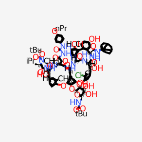 CCCOc1ccc(NC(=O)NC(=O)C[C@@H]2NC(=O)[C@H](NC(=O)[C@@H](CC(C)C)N(C)C(=O)OC(C)(C)C)[C@H](O)c3ccc(c(C)c3)Oc3cc4cc(c3O[C@@H]3O[C@H](CNC(=O)OC(C)(C)C)[C@@H](O)[C@H](O)[C@H]3O)Oc3ccc(cc3Cl)[C@@H](O)[C@@H]3NC(=O)[C@H](NC(=O)[C@@H]4NC2=O)c2ccc(O)c(c2)-c2c(C)cc(O)cc2[C@@H](C(=O)NC2C4CC5CC(C4)CC2C5)NC3=O)cc1